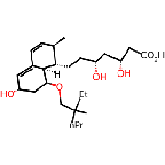 CCCC(C)(CC)CO[C@H]1C[C@H](O)C=C2C=C[C@@H](C)[C@H](CC[C@@H](O)C[C@@H](O)CC(=O)O)[C@H]21